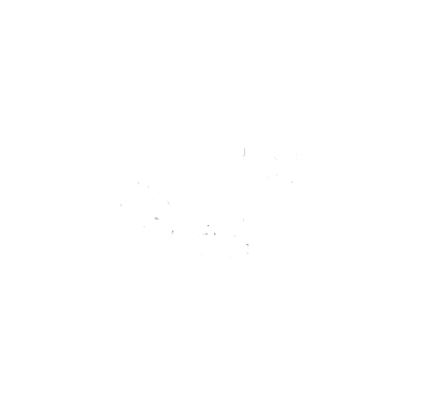 C=C(C)C(=O)OCCCOc1cccc2ccc(C3C(=O)c4c(Cl)c(Cl)c(Cl)c(Cl)c4C3=O)nc12